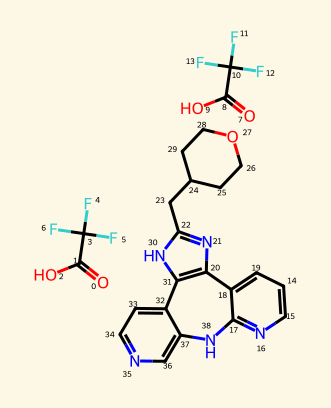 O=C(O)C(F)(F)F.O=C(O)C(F)(F)F.c1cnc2c(c1)-c1nc(CC3CCOCC3)[nH]c1-c1ccncc1N2